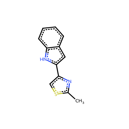 Cc1nc(-c2cc3ccccc3[nH]2)cs1